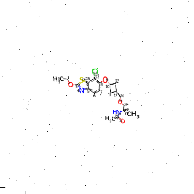 CCOc1nc2ccc(O[C@H]3C[C@H](COC[C@H](C)NC(C)=O)C3)c(Cl)c2s1